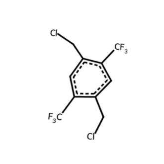 FC(F)(F)c1cc(CCl)c(C(F)(F)F)cc1CCl